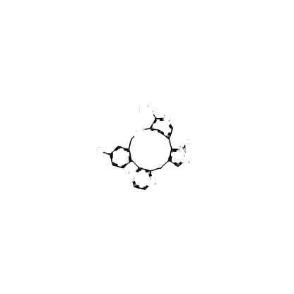 CCn1ncc2c1-c1cnc(N)c(c1)O[C@@H](C)c1cc(F)ccc1-c1nccnc1C2